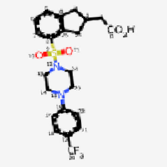 O=C(O)CC1Cc2cccc(S(=O)(=O)N3CCN(c4ccc(C(F)(F)F)cc4)CC3)c2C1